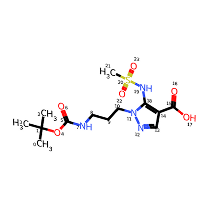 CC(C)(C)OC(=O)NCCCn1ncc(C(=O)O)c1NS(C)(=O)=O